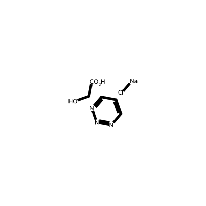 O=C(O)CO.[Na][Cl].c1cnnnc1